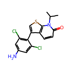 CC(C)n1c(=O)ccc2c(-c3c(Cl)cc(N)cc3Cl)csc21